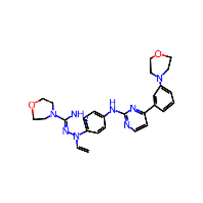 C=CN(/N=C(\N)N1CCOCC1)c1ccc(Nc2nccc(-c3cccc(N4CCOCC4)c3)n2)cc1